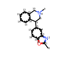 Cc1nc2cc(C3CN(C)Cc4ccccc43)ccc2o1